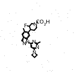 Cc1nc(N2CCC2)cc(-n2ncc3cc(C)c(C4CCN(C(=O)O)CC4F)cc32)n1